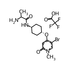 CC(N)C(=O)N[C@H]1CC[C@H](Oc2cc(=O)n(C)cc2Br)CC1.O=C(O)C(F)(F)F